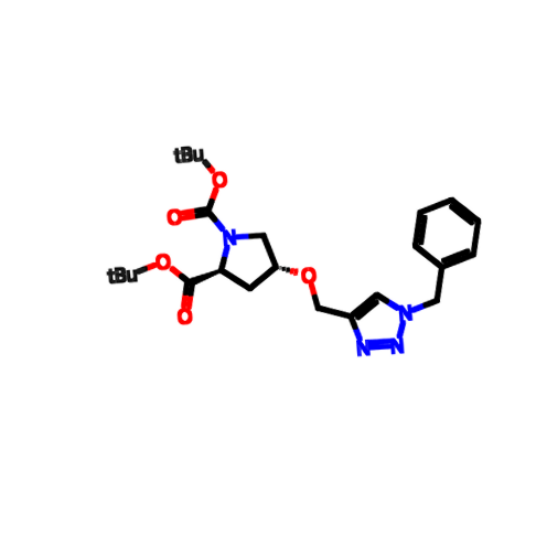 CC(C)(C)OC(=O)[C@@H]1C[C@@H](OCc2cn(Cc3ccccc3)nn2)CN1C(=O)OC(C)(C)C